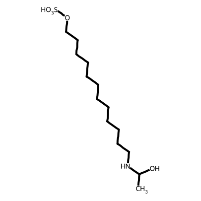 CC(O)NCCCCCCCCCCCCOS(=O)(=O)O